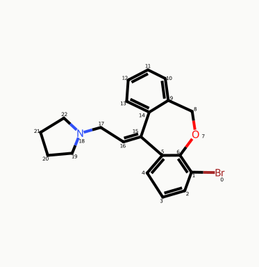 Brc1cccc2c1OCc1ccccc1C2=CCN1CCCC1